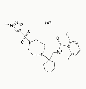 Cl.Cn1cc(S(=O)(=O)N2CCN(C3(CNC(=O)c4c(F)cccc4F)CCCCC3)CC2)nn1